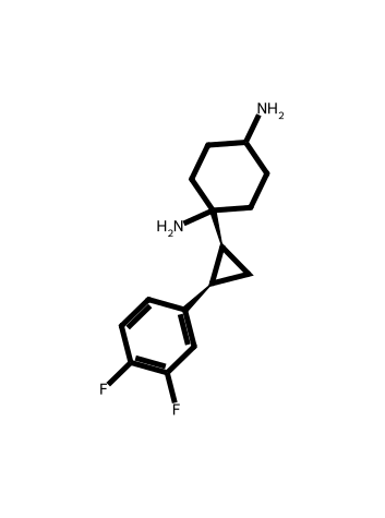 NC1CCC(N)([C@H]2C[C@H]2c2ccc(F)c(F)c2)CC1